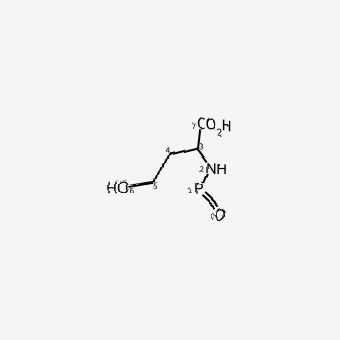 O=PNC(CCO)C(=O)O